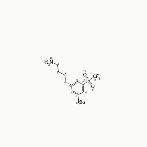 CC(C)(C)c1cc(CCCCN)cc(S(=O)(=O)C(F)(F)F)c1